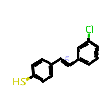 Sc1ccc(/C=C/c2cccc(Cl)c2)cc1